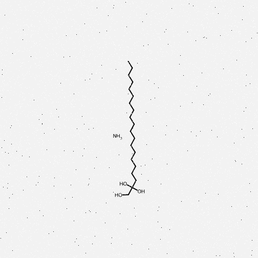 CCCCCCCCCCCCCCCCCCC(O)(O)CO.N